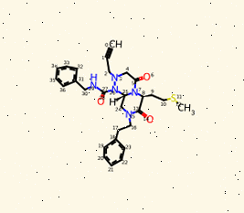 C#CCN1CC(=O)N2[C@@H](CCSC)C(=O)N(CCc3ccccc3)C[C@@H]2N1C(=O)NCc1ccccc1